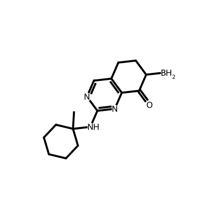 BC1CCc2cnc(NC3(C)CCCCC3)nc2C1=O